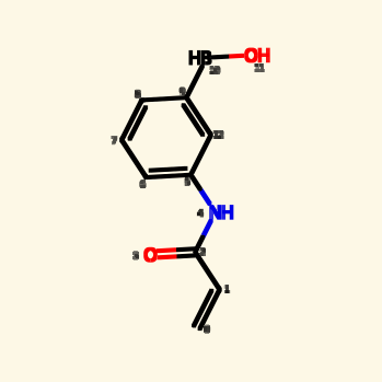 C=CC(=O)Nc1cccc(BO)c1